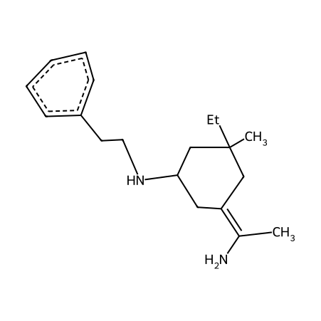 CCC1(C)C/C(=C(\C)N)CC(NCCc2ccccc2)C1